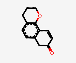 O=C1C=Cc2c(ccc3c2OCCC3)C1